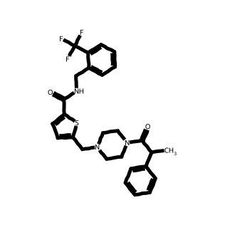 CC(C(=O)N1CCN(Cc2ccc(C(=O)NCc3ccccc3C(F)(F)F)s2)CC1)c1ccccc1